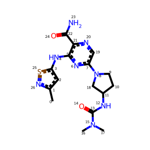 Cc1cc(Nc2nc(N3CCC(NC(=O)N(C)C)C3)cnc2C(N)=O)sn1